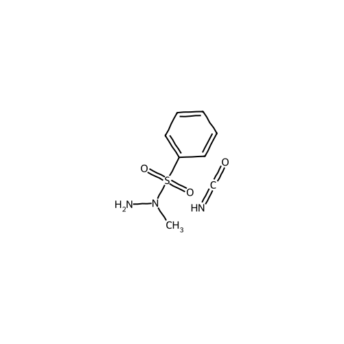 CN(N)S(=O)(=O)c1ccccc1.N=C=O